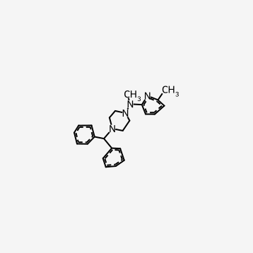 Cc1cccc(N(C)N2CCN(C(c3ccccc3)c3ccccc3)CC2)n1